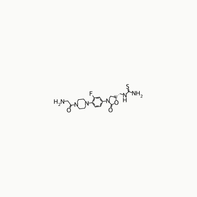 NCC(=O)N1CCN(c2ccc(N3C[C@H](CNC(N)=S)OC3=O)cc2F)CC1